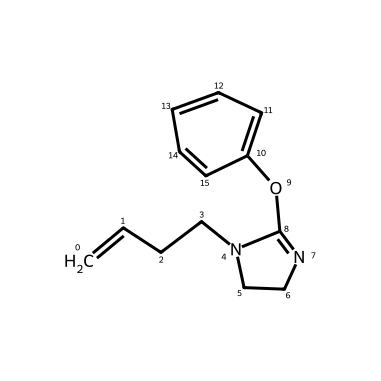 C=CCCN1CCN=C1Oc1ccccc1